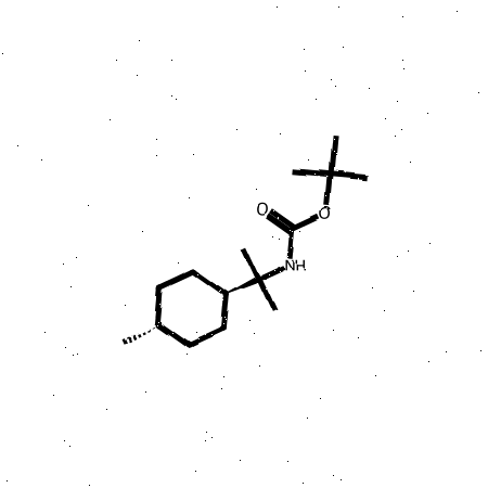 CC(C)(C)OC(=O)NC(C)(C)[C@H]1CC[C@H](C)CC1